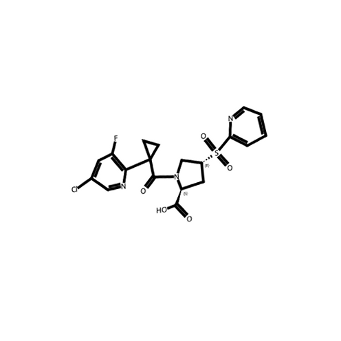 O=C(O)[C@@H]1C[C@@H](S(=O)(=O)c2ccccn2)CN1C(=O)C1(c2ncc(Cl)cc2F)CC1